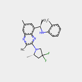 Cc1cc([C@@H](C)Nc2ccccc2C(=O)O)c2nc(N3CC(F)(F)C[C@@H]3C)c(C#N)nc2c1